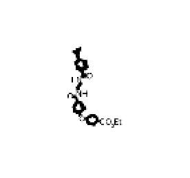 CCOC(=O)[C@H]1CC[C@@H](Oc2ccc(C(=O)NCCNC(=O)c3ccc(C4CC4)cc3)cc2)CC1